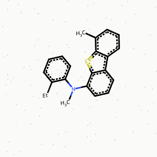 CCc1ccccc1N(C)c1cccc2c1sc1c(C)cccc12